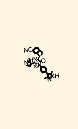 Cc1n[nH]c(C)c1-c1ccc(NC(=O)[C@@H](NC(=O)c2ccnn2C)[C@H]2CCc3ccc(C#N)cc32)cc1